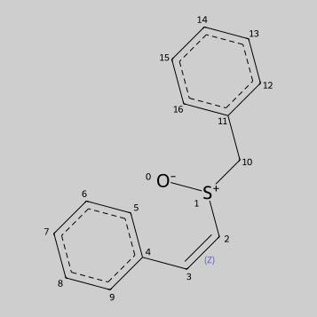 [O-][S+](/C=C\c1ccccc1)Cc1ccccc1